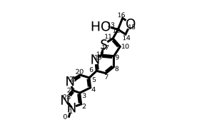 Cn1cc2cc(-c3ccc4cc(C5(O)COC5)sc4n3)cnc2n1